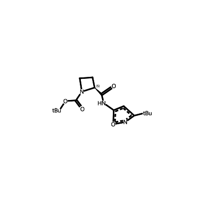 CC(C)(C)OC(=O)N1CC[C@H]1C(=O)Nc1cc(C(C)(C)C)no1